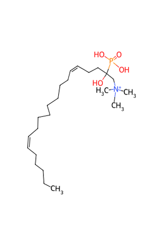 CCCCC/C=C\CCCCCCC/C=C\CCC(O)(C[N+](C)(C)C)P(=O)(O)O